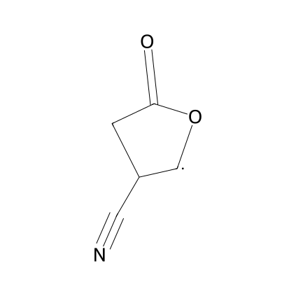 N#CC1[CH]OC(=O)C1